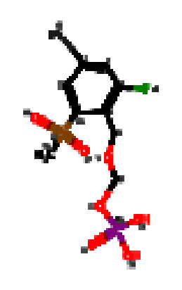 CC(C)c1cc(F)c(COCOP(=O)(O)O)c(S(C)(=O)=O)c1